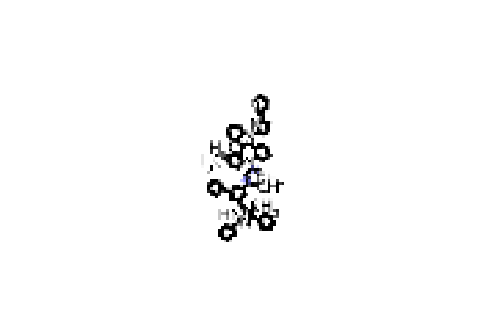 C#C/C(=C\C(=C/C)N1c2ccccc2C2=C(c3cc(C)ccc31)C1(C)C=CC=CC1N2c1cccc(-c2ccccn2)n1)c1cc(-c2ccccc2)cc(C2NC(c3ccccc3)=NC(c3ccccc3)N2C)c1